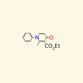 CCOC(=O)c1c(C)n(-c2ccccc2)ccc1=O